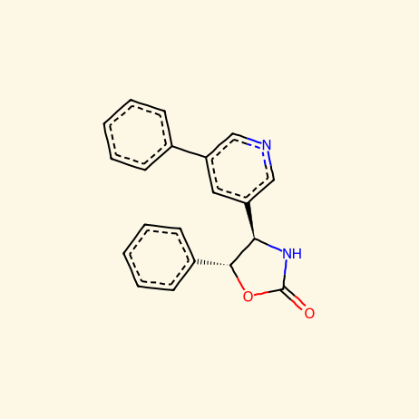 O=C1N[C@H](c2cncc(-c3ccccc3)c2)[C@@H](c2ccccc2)O1